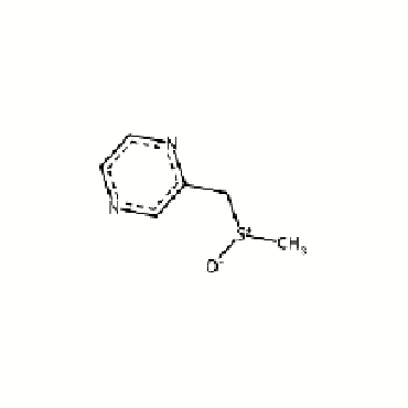 C[S+]([O-])Cc1cnccn1